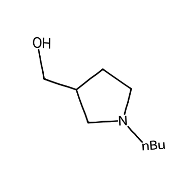 CCCCN1CCC(CO)C1